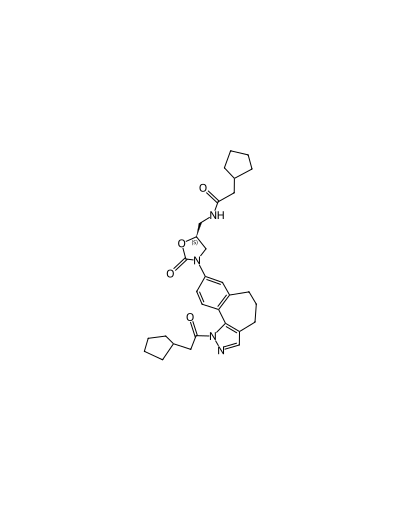 O=C(CC1CCCC1)NC[C@H]1CN(c2ccc3c(c2)CCCc2cnn(C(=O)CC4CCCC4)c2-3)C(=O)O1